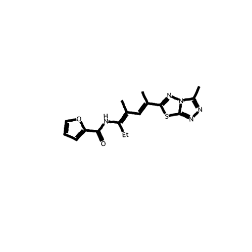 CC/C(NC(=O)c1ccco1)=C(C)\C=C(/C)c1nn2c(C)nnc2s1